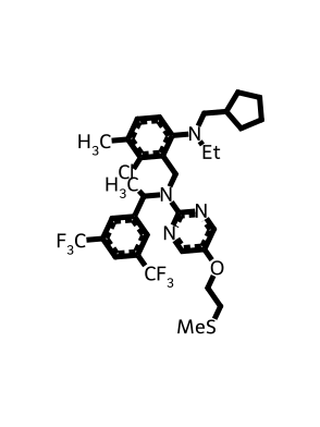 CCN(CC1CCCC1)c1ccc(C)c(Cl)c1CN(c1ncc(OCCSC)cn1)C(C)c1cc(C(F)(F)F)cc(C(F)(F)F)c1